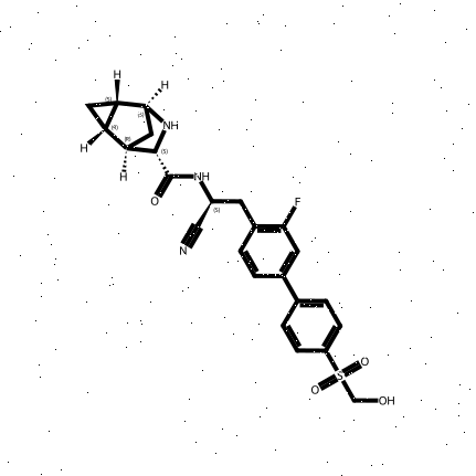 N#C[C@H](Cc1ccc(-c2ccc(S(=O)(=O)CO)cc2)cc1F)NC(=O)[C@H]1N[C@H]2C[C@@H]1[C@@H]1C[C@@H]12